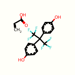 C=CC(=O)O.Oc1ccc(C(c2ccc(O)cc2)(C(F)(F)F)C(F)(F)F)cc1